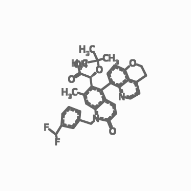 Cc1cc2c(ccc(=O)n2Cc2cccc(C(F)F)c2)c(-c2ccc3c4c(ccnc24)CCO3)c1[C@H](OC(C)(C)C)C(=O)O